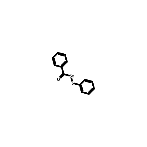 O=C([Se]Sc1ccccc1)c1ccccc1